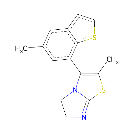 CC1=C(c2cc(C)cc3ccsc23)N2CCN=C2S1